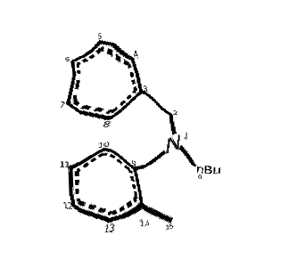 CCCCN(Cc1ccccc1)c1ccccc1C